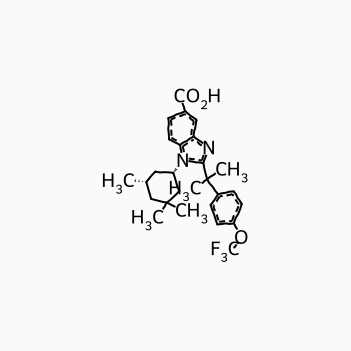 C[C@@H]1C[C@H](n2c(C(C)(C)c3ccc(OC(F)(F)F)cc3)nc3cc(C(=O)O)ccc32)CC(C)(C)C1